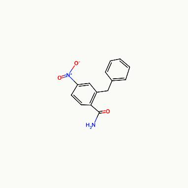 NC(=O)c1ccc([N+](=O)[O-])cc1Cc1ccccc1